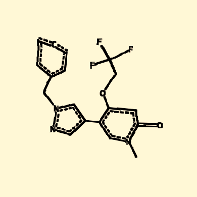 Cn1cc(-c2cnn(Cc3ccccc3)c2)c(OCC(F)(F)F)cc1=O